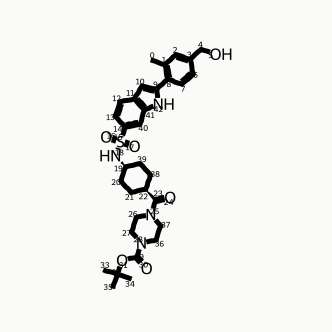 Cc1cc(CO)ccc1-c1cc2ccc(S(=O)(=O)N[C@H]3CC[C@H](C(=O)N4CCN(C(=O)OC(C)(C)C)CC4)CC3)cc2[nH]1